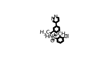 Cc1c(Cl)cccc1S(=O)(=O)N[C@@H](C)c1cccc(-c2ccnnc2)c1